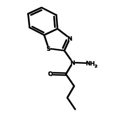 CCCC(=O)N(N)c1nc2ccccc2s1